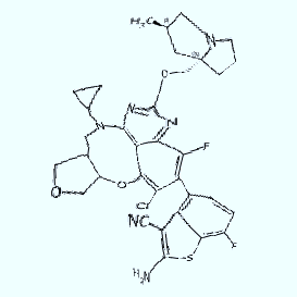 C[C@H]1CN2CCC[C@@]2(COc2nc3c4c(c(Cl)c(-c5ccc(F)c6sc(N)c(C#N)c56)c(F)c4n2)OC2COCC2CN3C2CC2)C1